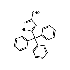 O=Cc1c[nH]c(C(c2ccccc2)(c2ccccc2)c2ccccc2)n1